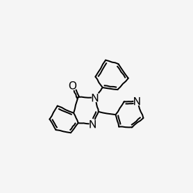 O=c1c2ccccc2nc(-c2cccnc2)n1-c1ccccc1